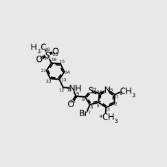 Cc1cc(C)c2c(Br)c(C(=O)NCc3ccc(S(C)(=O)=O)cc3)sc2n1